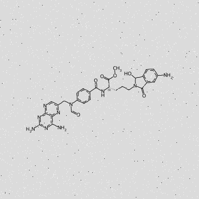 COC(=O)[C@H](CCCN1C(=O)c2cc(N)ccc2C1O)NC(=O)c1ccc(N(C=O)Cc2cnc3nc(N)nc(N)c3n2)cc1